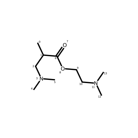 CC(CN(C)C)C(=O)OCCN(C)C